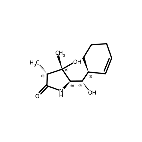 C[C@H]1C(=O)N[C@H]([C@@H](O)[C@@H]2C=CCCC2)[C@@]1(C)O